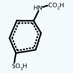 O=C(O)Nc1ccc(S(=O)(=O)O)cc1